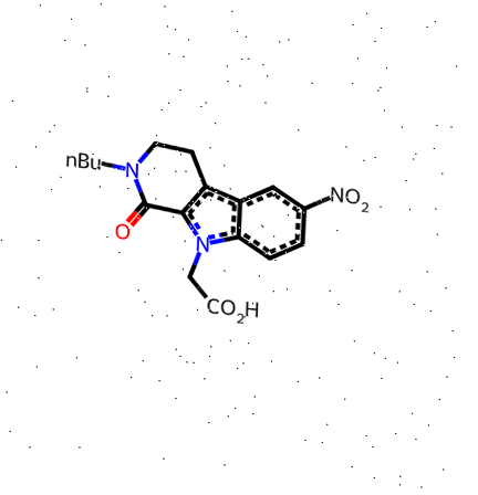 CCCCN1CCc2c(n(CC(=O)O)c3ccc([N+](=O)[O-])cc23)C1=O